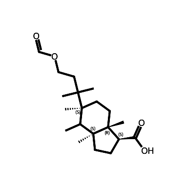 CC1[C@@](C)(C(C)(C)CCOC=O)CC[C@]2(C)[C@@H](C(=O)O)CC[C@@]12C